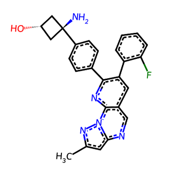 Cc1cc2ncc3cc(-c4ccccc4F)c(-c4ccc([C@]5(N)C[C@H](O)C5)cc4)nc3n2n1